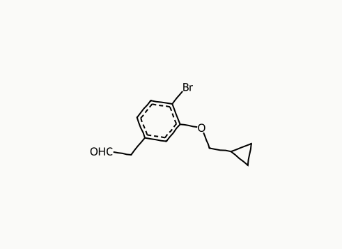 O=CCc1ccc(Br)c(OCC2CC2)c1